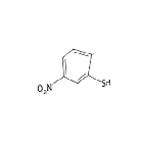 O=[N+]([O-])c1cc[c]c(S)c1